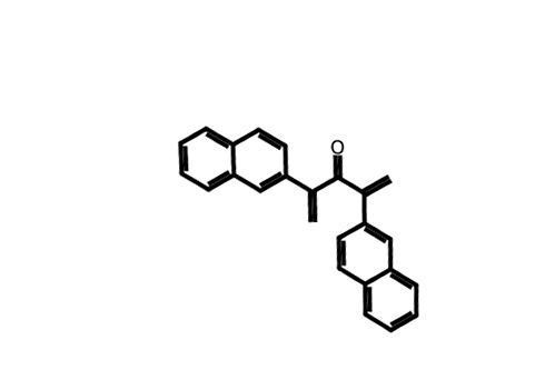 C=C(C(=O)C(=C)c1ccc2ccccc2c1)c1ccc2ccccc2c1